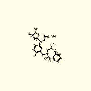 CCC[C@@H]1CN(Cc2cc(C(CC(=O)OC)c3nc(C)c(C(C)=O)s3)ccc2C)S(=O)(=O)c2ccccc2O1